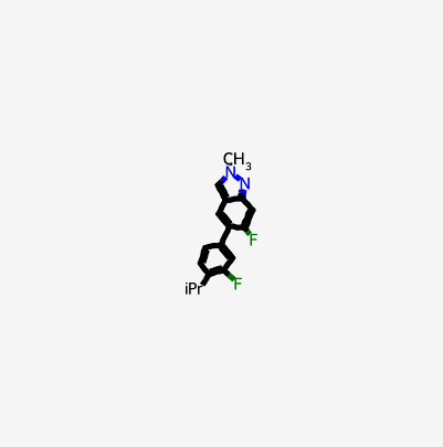 CC(C)c1ccc(-c2cc3cn(C)nc3cc2F)cc1F